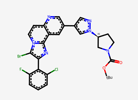 CC(C)(C)OC(=O)N1CC[C@H](n2cc(-c3cnc4ccn5c(Br)c(-c6c(F)cccc6Cl)nc5c4c3)cn2)C1